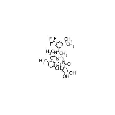 Cc1ccc(C)c([C@H]2[C@@H]3CC(CCO)(CCO)C(=O)N3CCN2C(=O)N(C)[C@H](C)c2cc(C(C)C)cc(C(F)(F)F)c2)c1